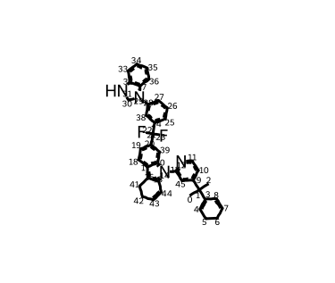 CC(C)(C1=CCCC=C1)c1ccnc(-n2c3c(c4ccc(C(F)(F)c5cccc(N6CNc7ccccc76)c5)cc42)CCC=C3)c1